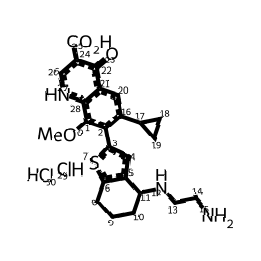 COc1c(-c2cc3c(s2)CCCC3NCCN)c(C2CC2)cc2c(=O)c(C(=O)O)c[nH]c12.Cl.Cl